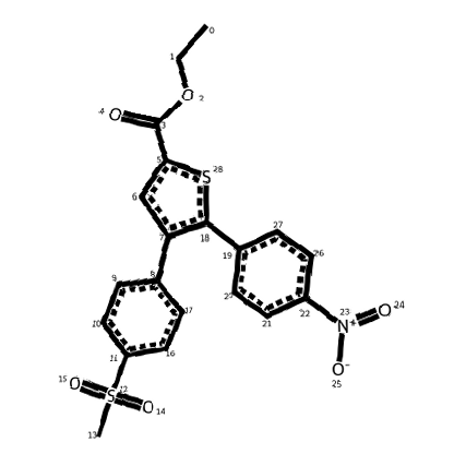 CCOC(=O)c1cc(-c2ccc(S(C)(=O)=O)cc2)c(-c2ccc([N+](=O)[O-])cc2)s1